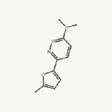 Cc1ccc(-c2ccc(N(C)C)nn2)o1